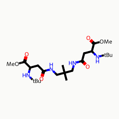 COC(=O)C(CC(=O)NCC(C)(C)CNC(=O)CC(NC(C)(C)C)C(=O)OC)NC(C)(C)C